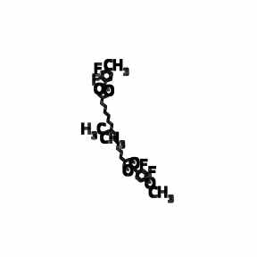 CCOc1ccc(C2OCC(CCCCCCC(CCCCCCC3COC(c4ccc(C)c(F)c4F)OC3)=C(C)C)CO2)c(F)c1F